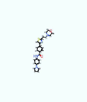 O=C(Nc1ccc(N2CCCC2)cc1)c1ccc(-c2csc(CCN3CCOCC3)n2)cc1